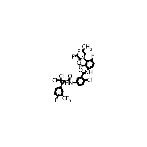 C=CCN(C(=O)C(F)F)c1c(F)ccc(NC(=O)c2cc(NC(=O)[C@H]3[C@H](c4ccc(F)c(C(F)(F)F)c4)C3(Cl)Cl)ccc2Cl)c1F